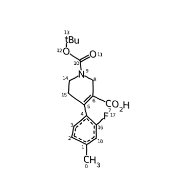 Cc1ccc(C2=C(C(=O)O)CN(C(=O)OC(C)(C)C)CC2)c(F)c1